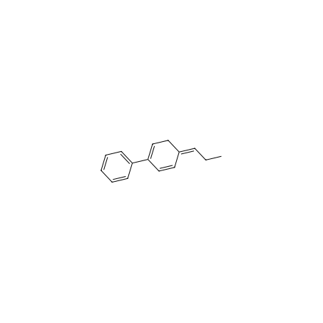 CCC=C1C=CC(c2ccccc2)=CC1